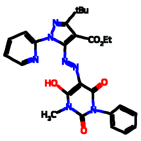 CCOC(=O)c1c(C(C)(C)C)nn(-c2ccccn2)c1N=Nc1c(O)n(C)c(=O)n(-c2ccccc2)c1=O